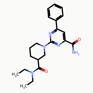 CCN(CC)C(=O)C1CCCN(c2nc(C(N)=O)cc(-c3ccccc3)n2)C1